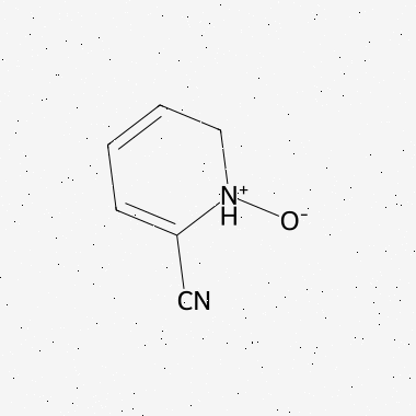 N#CC1=CC=CC[NH+]1[O-]